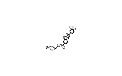 Cc1cccc(-c2cn3c(n2)sc2cc(C(=O)NCCCN4CC[S+]([O-])CC4)ccc23)c1